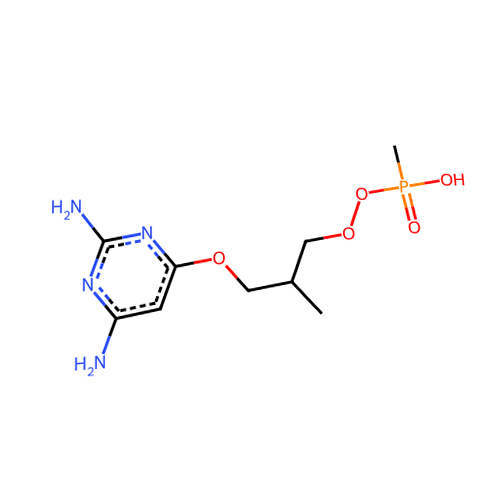 CC(COOP(C)(=O)O)COc1cc(N)nc(N)n1